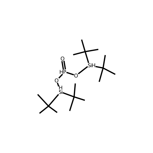 CC(C)(C)[SiH](O[PH](=O)O[SiH](C(C)(C)C)C(C)(C)C)C(C)(C)C